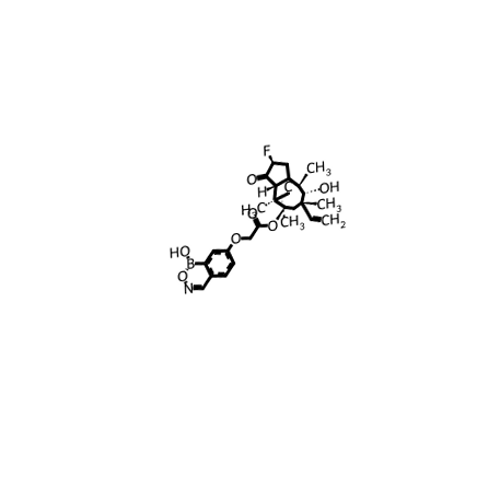 C=C[C@]1(C)C[C@@H](OC(=O)COc2ccc3c(c2)B(O)ON=C3)[C@]2(C)[C@H](C)CC[C@]3(C[C@H](F)C(=O)[C@H]32)[C@@H](C)[C@@H]1O